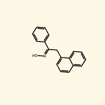 ON=C(Cc1cccc2ccccc12)c1ccccc1